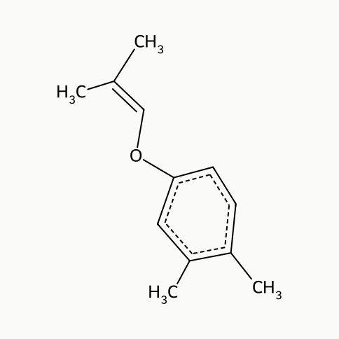 CC(C)=COc1ccc(C)c(C)c1